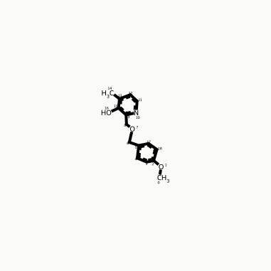 COc1ccc(COCc2nccc(C)c2O)cc1